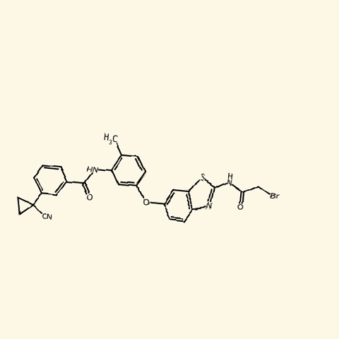 Cc1ccc(Oc2ccc3nc(NC(=O)CBr)sc3c2)cc1NC(=O)c1cccc(C2(C#N)CC2)c1